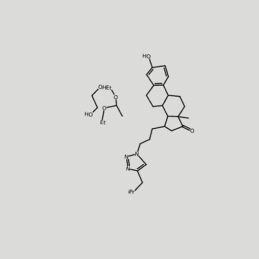 CC(C)Cc1cn(CCCC2CC(=O)C3(C)CCC4c5ccc(O)cc5CCC4C23)nn1.CCOC(C)OCC.OCCO